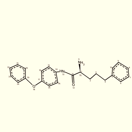 N[C@@H](CCCc1ccccc1)C(=O)Nc1ccc(Oc2ccccc2)cc1